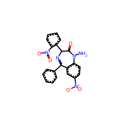 NN1C(=O)C(c2ccccc2[N+](=O)[O-])N=C(c2ccccc2)c2cc([N+](=O)[O-])ccc21